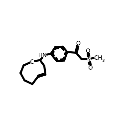 CS(=O)(=O)CC(=O)c1ccc(NC2C/C=C/CCCCC2)cc1